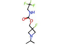 CC(C)N1CC(F)(COC(=O)NCC(F)(F)F)C1